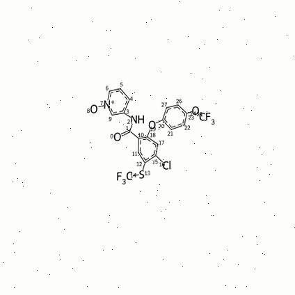 O=C(Nc1ccc[n+]([O-])c1)c1cc(SC(F)(F)F)c(Cl)cc1Oc1ccc(OC(F)(F)F)cc1